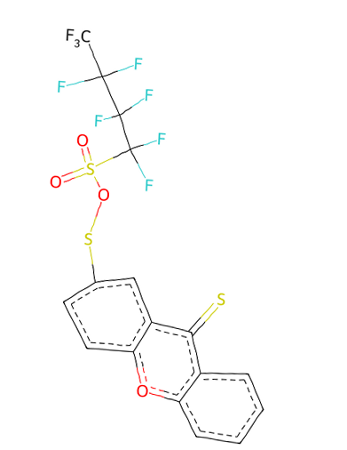 O=S(=O)(OSc1ccc2oc3ccccc3c(=S)c2c1)C(F)(F)C(F)(F)C(F)(F)C(F)(F)F